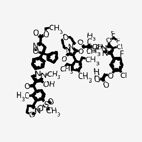 CCOC(=O)C1=NOC(c2ccccc2)(c2ccccc2)C1.CCc1cc(C)cc(CC)c1-c1c(OC(=O)C(C)(C)C)n2n(c1=O)CCOCC2.Cc1c(C(=O)c2cnn(C)c2O)ccc(S(C)(=O)=O)c1C1=NOCC1.Cn1nc(-c2cc(OCC(=O)O)c(Cl)cc2F)c(Cl)c1OC(F)F